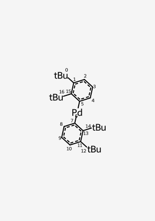 CC(C)(C)c1ccc[c]([Pd][c]2cccc(C(C)(C)C)c2C(C)(C)C)c1C(C)(C)C